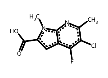 Cc1nc2c(cc(C(=O)O)n2C)c(F)c1Cl